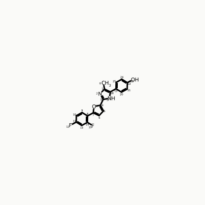 Cc1nc(-c2ccc(-c3ccc(F)cc3F)o2)[nH]c1-c1ccc(O)cc1